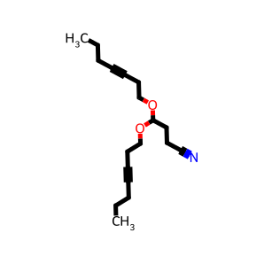 CCCC#CCCOC(CCC#N)OCCC#CCCC